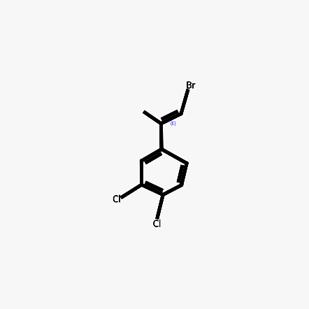 C/C(=C\Br)c1ccc(Cl)c(Cl)c1